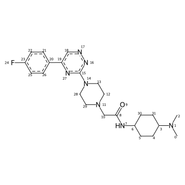 CN(C)C1CCC(NC(=O)CN2CCN(c3nncc(-c4ccc(F)cc4)n3)CC2)CC1